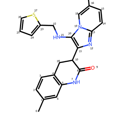 Cc1ccc2c(c1)NC(=O)C(c1nc3ccc(C)cn3c1NCc1cccs1)C2